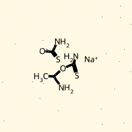 CC(N)OC(N)=S.NC([O-])=S.[Na+]